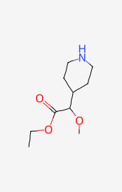 CCOC(=O)C(OC)C1CCNCC1